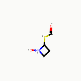 O=CSC1CC[NH+]1[O-]